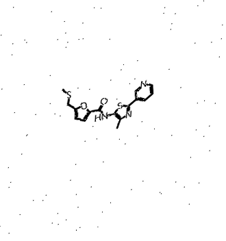 CSCc1ccc(C(=O)Nc2sc(-c3cccnc3)nc2C)o1